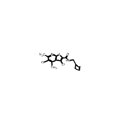 Cc1nc2sc(C(=O)NCC3CCC3)c(Cl)c2c(C)c1Cl